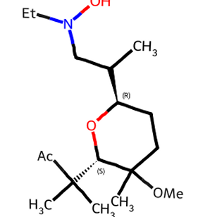 CCN(O)CC(C)[C@H]1CCC(C)(OC)[C@H](C(C)(C)C(C)=O)O1